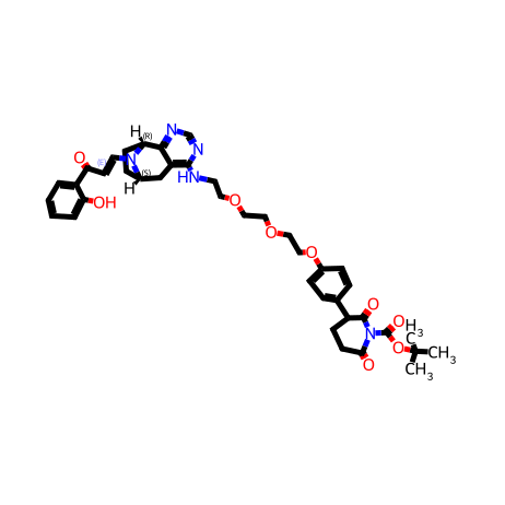 CC(C)(C)OC(=O)N1C(=O)CCC(c2ccc(OCCOCCOCCNc3ncnc4c3C[C@@H]3CC[C@H]4N3/C=C/C(=O)c3ccccc3O)cc2)C1=O